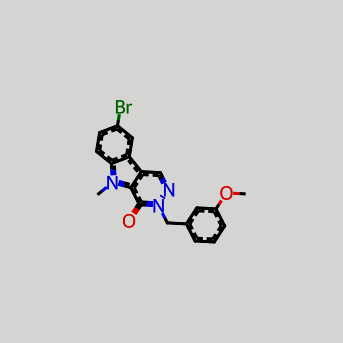 COc1cccc(Cn2ncc3c4cc(Br)ccc4n(C)c3c2=O)c1